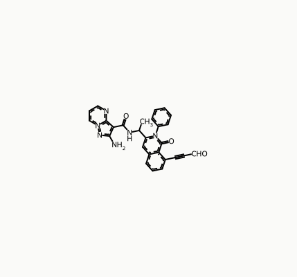 CC(NC(=O)c1c(N)nn2cccnc12)c1cc2cccc(C#CC=O)c2c(=O)n1-c1ccccc1